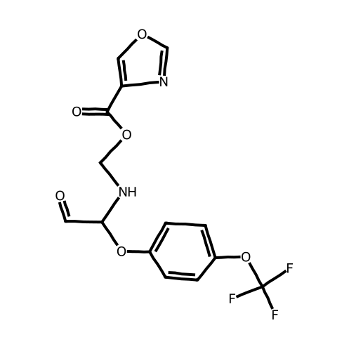 O=CC(NCOC(=O)c1cocn1)Oc1ccc(OC(F)(F)F)cc1